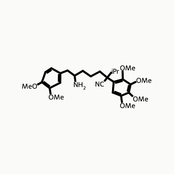 COc1ccc(CC(N)CCCC(C#N)(c2cc(OC)c(OC)c(OC)c2OC)C(C)C)cc1OC